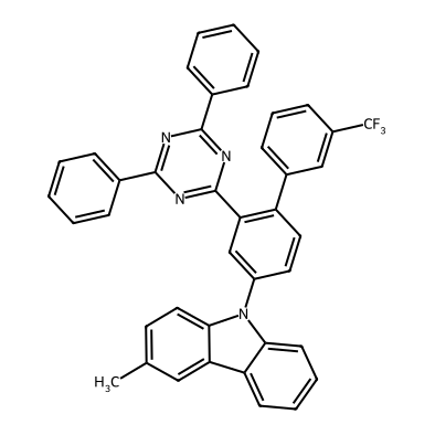 Cc1ccc2c(c1)c1ccccc1n2-c1ccc(-c2cccc(C(F)(F)F)c2)c(-c2nc(-c3ccccc3)nc(-c3ccccc3)n2)c1